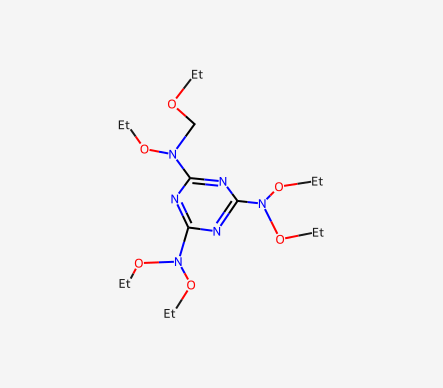 CCOCN(OCC)c1nc(N(OCC)OCC)nc(N(OCC)OCC)n1